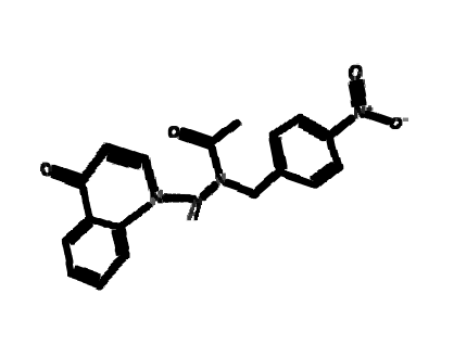 CC(=O)N(Cc1ccc([N+](=O)[O-])cc1)Nn1ccc(=O)c2ccccc21